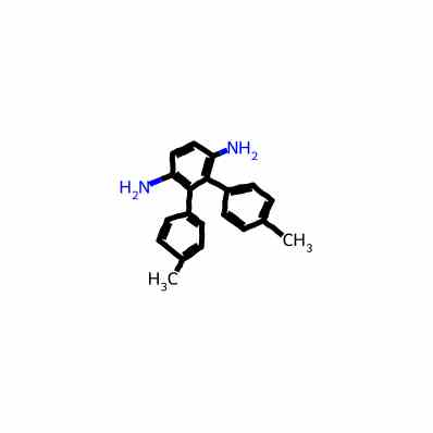 Cc1ccc(-c2c(N)ccc(N)c2-c2ccc(C)cc2)cc1